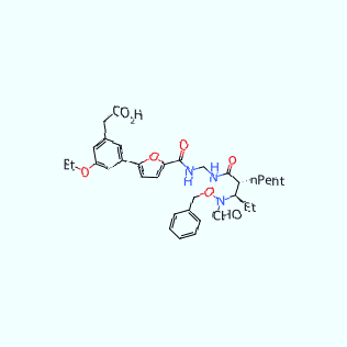 CCCCC[C@@H](C(=O)NCNC(=O)c1ccc(-c2cc(CC(=O)O)cc(OCC)c2)o1)[C@@H](CC)N(C=O)OCc1ccccc1